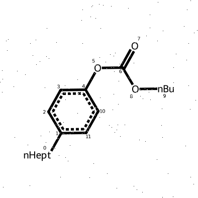 CCCCCCCc1ccc(OC(=O)OCCCC)cc1